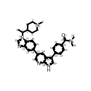 CC(C1CCN(C)CC1)n1cnc2cc(-c3cnc4[nH]cc(-c5ccc(C(=O)N(C)C)cc5)c4c3)ccc21